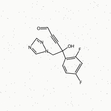 O=CC#CC(O)(Cn1cncn1)c1ccc(F)cc1F